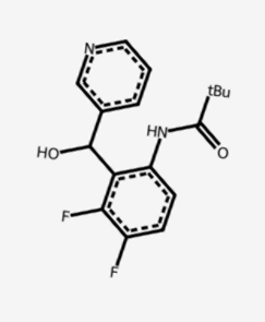 CC(C)(C)C(=O)Nc1ccc(F)c(F)c1C(O)c1cccnc1